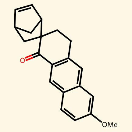 COc1ccc2cc3c(cc2c1)CCC1(CC2C=CC1C2)C3=O